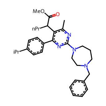 CCCC(C(=O)OC)c1c(C)nc(N2CCCN(Cc3ccccc3)CC2)nc1-c1ccc(C(C)C)cc1